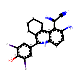 N#CC(=N)c1c(N)ccc2nc(-c3cc(I)c(O)c(I)c3)c3c(c12)CCCC3